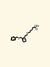 O=C(O)CCCCSCCC1C2CCC(O2)C1CSCc1ccccc1